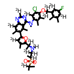 [2H]c1nc(N(C)c2c([2H])c(Cl)c(OC([2H])([2H])c3c([2H])c(F)c([2H])c(C)c3C)c(C)c2C)c2c(C)c(-c3oc(C([2H])(C)N([2H])C([2H])([2H])C([2H])(C)S(=O)(=O)C([2H])(C)C)c(C)c3[2H])c(C)c([2H])c2n1